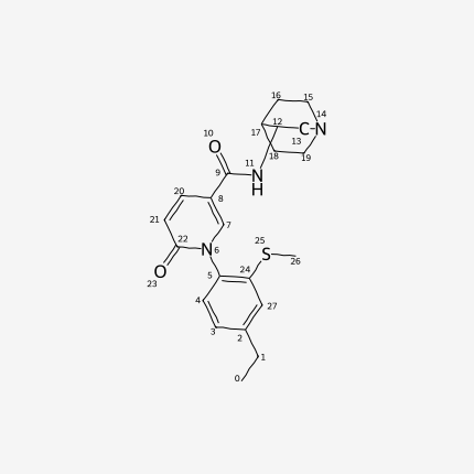 CCc1ccc(-n2cc(C(=O)NC3CN4CCC3CC4)ccc2=O)c(SC)c1